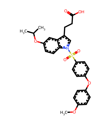 COc1ccc(Oc2ccc(S(=O)(=O)n3cc(CCC(=O)O)c4cc(OC(C)C)ccc43)cc2)cc1